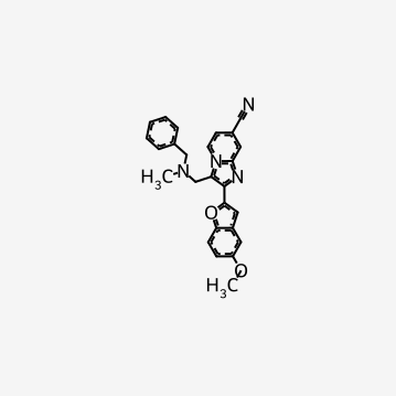 COc1ccc2oc(-c3nc4cc(C#N)ccn4c3CN(C)Cc3ccccc3)cc2c1